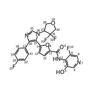 O=C(Nc1c(O)cncc1F)c1ccc(-c2c(-c3ccc(F)cc3)ncn2C2COCC2(F)F)o1